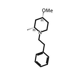 CO[C@@H]1CCN(CCc2ccccc2)[C@H](C)C1